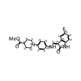 COC(=O)C1CCN(c2ccc(N/C=C3\C(=O)Nc4ccc(F)cc43)cc2)CC1